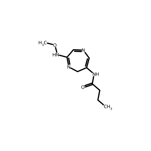 CCCC(=O)NC1=CN=CC(NOC)=NC1